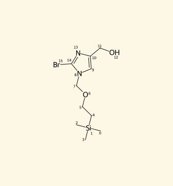 C[Si](C)(C)CCOCn1cc(CO)nc1Br